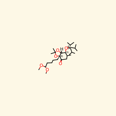 COC(CCCC[C@@]12OC(C)(C)O[C@@H]1[C@@H](O[Si](C(C)C)(C(C)C)C(C)C)C(C)CC2=O)OC